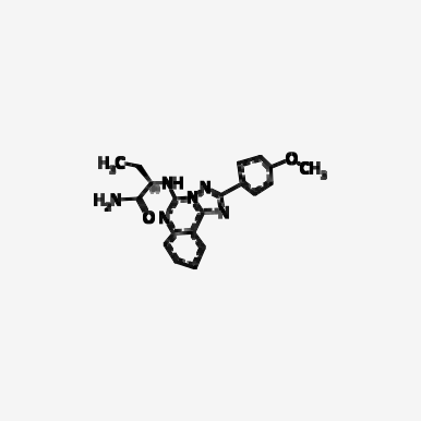 CC[C@@H](Nc1nc2ccccc2c2nc(-c3ccc(OC)cc3)nn12)C(N)=O